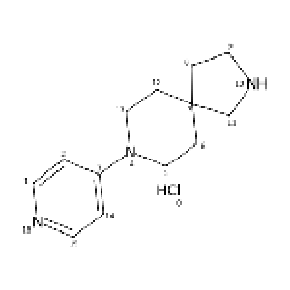 Cl.c1cc(N2CCC3(CCNC3)CC2)ccn1